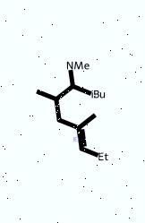 CC/C=C(\C)CC(C)C(NC)C(C)CC